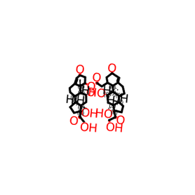 C[C@]12C[C@H](O)[C@H]3[C@@H](CCC4=CC(=O)CC(CC(=O)OC5CC(=O)C=C6CC[C@H]7[C@@H]8CC[C@](O)(C(=O)CO)[C@@]8(C)CC(=O)[C@@H]7[C@]65C)[C@@]43C)[C@@H]1CC[C@]2(O)C(=O)CO